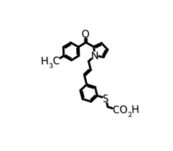 Cc1ccc(C(=O)c2cccn2C/C=C/c2cccc(SCC(=O)O)c2)cc1